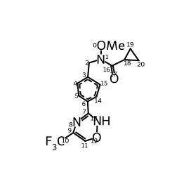 CON(Cc1ccc(C2=NC(C(F)(F)F)=CON2)cc1)C(=O)C1CC1